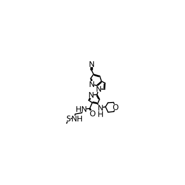 CSNCCNC(=O)c1cnc(-n2ccc3cc(C#N)cnc32)cc1NC1CCOCC1